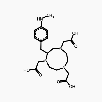 CNc1ccc(CC2CN(CC(=O)O)CCN(CC(=O)O)CCN2CC(=O)O)cc1